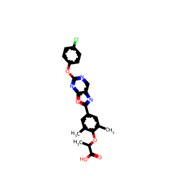 Cc1cc(-c2nc3cnc(Oc4ccc(Cl)cc4)nc3o2)cc(C)c1OC(C)C(=O)O